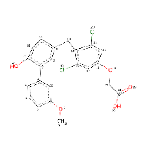 COc1cccc(-c2cc(Cc3c(Cl)cc(OCC(=O)O)cc3Cl)ccc2O)c1